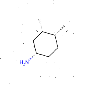 C[C@@H]1CC[C@H](N)C[C@@H]1C